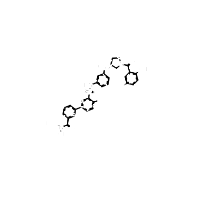 COc1ccc(-c2cccc(C(=O)N(C)C)c2)cc1S(=O)(=O)Nc1cccc(N[C@@H]2CCN(C(=O)c3cc(C)ccc3C)C2)c1